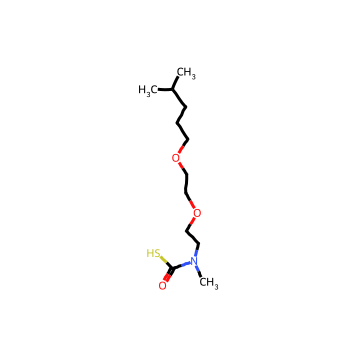 CC(C)CCCOCCOCCN(C)C(=O)S